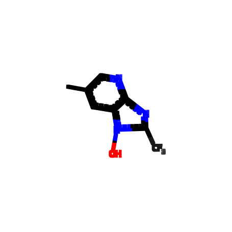 Cc1cnc2nc(C(F)(F)F)n(O)c2c1